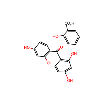 O=C(O)c1ccccc1O.O=C(c1ccc(O)cc1O)c1ccc(O)cc1O